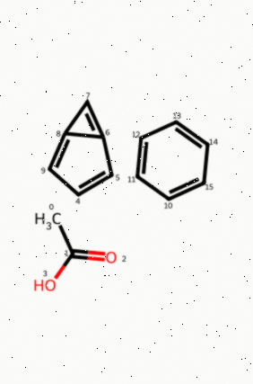 CC(=O)O.c1cc2cc-2c1.c1ccccc1